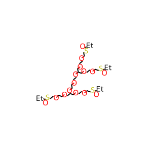 CCC(=O)SCCOCCOCC(COCCOCCSC(=O)CC)OCCOCCOC(COCCOCCSC(=O)CC)COCCOCCSC(=O)CC